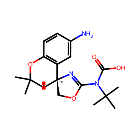 CC(C)(C)N(C(=O)O)C1=N[C@@]2(CO1)c1cc(N)ccc1OC(C)(C)C21COC1